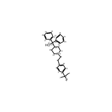 CC(C)(F)c1ccc(CCN2CCC(C(O)(c3ccccc3)c3ccccc3)CC2)cc1